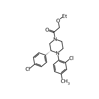 CCOCC(=O)N1CCN(c2ccc(C)cc2Cl)[C@H](c2ccc(Cl)cc2)C1